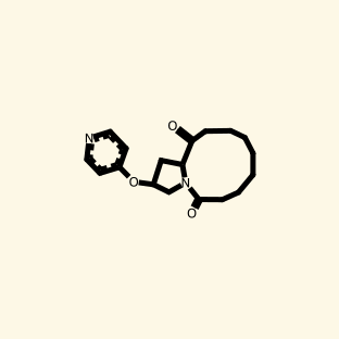 O=C1CCCCCCCC(=O)N2CC(Oc3ccncc3)CC12